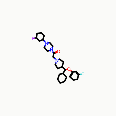 O=C(CN1CCC(C(OC2=CCCC(F)=C2)C2CCCCC2)CC1)N1CCN(C2CCCC(I)C2)CC1